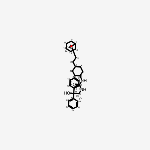 C[C@@H](NC(=O)NC1CCC(CCN2CC3CCC(CC3)C2)CC1)C(O)(c1ccccc1)c1ccccc1